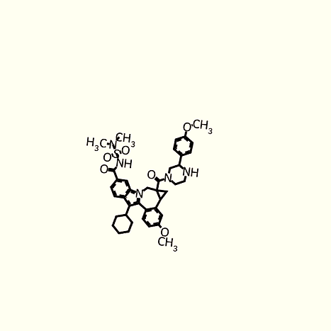 COc1ccc(C2CN(C(=O)C34CC3c3cc(OC)ccc3-c3c(C5CCCCC5)c5ccc(C(=O)NS(=O)(=O)N(C)C)cc5n3C4)CCN2)cc1